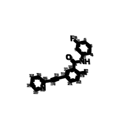 O=C(Nc1cccc(F)c1)c1cc(C#Cc2ccccn2)ccc1F